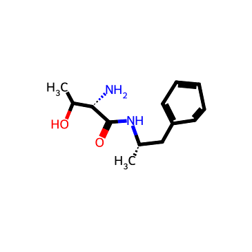 CC(O)[C@H](N)C(=O)N[C@@H](C)Cc1ccccc1